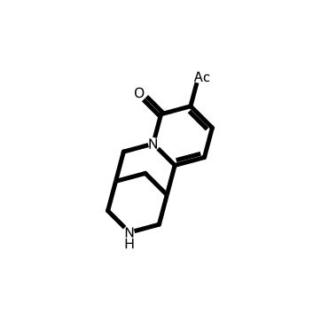 CC(=O)c1ccc2n(c1=O)CC1CNCC2C1